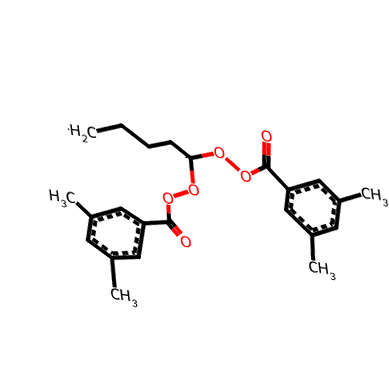 [CH2]CCC[C](OOC(=O)c1cc(C)cc(C)c1)OOC(=O)c1cc(C)cc(C)c1